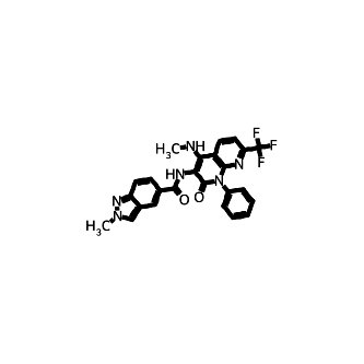 CNc1c(NC(=O)c2ccc3nn(C)cc3c2)c(=O)n(-c2ccccc2)c2nc(C(F)(F)F)ccc12